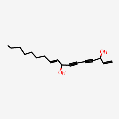 C=CC(O)C#CC#CC(O)C=CCCCCCCC